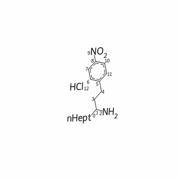 CCCCCCCC(N)CCc1ccc([N+](=O)[O-])cc1.Cl